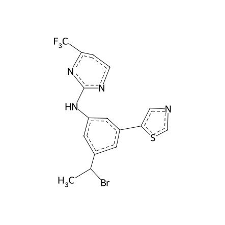 CC(Br)c1cc(Nc2nccc(C(F)(F)F)n2)cc(-c2cncs2)c1